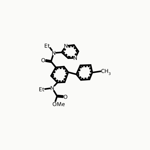 CCN(C(=O)OC)c1cc(C(=O)N(CC)c2cnccn2)cc(-c2ccc(C)cc2)c1